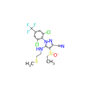 CC[S+]([O-])c1c(C#N)nn(-c2c(Cl)cc(C(F)(F)F)cc2Cl)c1NCCSC